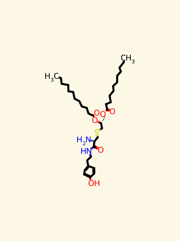 CCCCCCCCCCCC(=O)OC[C@H](CSC[C@H](N)C(=O)NCCc1ccc(O)cc1)OC(=O)CCCCCCCCCCC